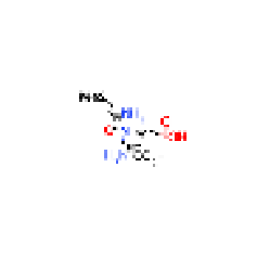 CSCC[C@H](N)C(=O)N1C[C@@H](CCB(O)O)C[C@](N)(C(=O)O)C1